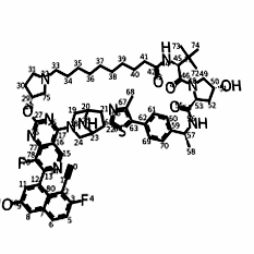 C#Cc1c(F)ccc2cc(O)cc(-c3ncc4c(N5CC6CCC(C5)N6)nc(O[C@@H]5CCN(CCCCCCCCCC(=O)N[C@H](C(=O)N6C[C@H](O)C[C@H]6C(=O)N[C@@H](C)c6ccc(-c7scnc7C)cc6)C(C)(C)C)C5)nc4c3F)c12